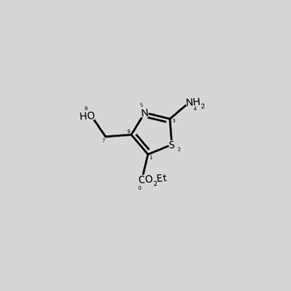 CCOC(=O)c1sc(N)nc1CO